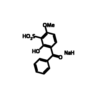 COc1ccc(C(=O)c2ccccc2)c(O)c1S(=O)(=O)O.[NaH]